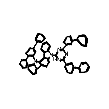 c1ccc(-c2cccc(C3=NC(n4c5ccccc5c5c6c(ccc54)c4ccccc4n6-c4cc(-c5ccccc5)ccc4-c4ccccc4)NC(c4cccc(-c5ccccc5)c4)=N3)c2)cc1